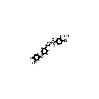 CCc1ccc(S(=O)(=O)NCCc2ccc(Oc3ccc(F)c(Cl)c3)cc2)cc1C(=O)O